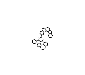 CC(C)(C)C1(C)c2ccc(-c3nc(-c4ccccc4)cc(-c4cccc5c4-c4ccccc4CCC5)n3)cc2-c2c1ccc1c2-c2ccccc2C1